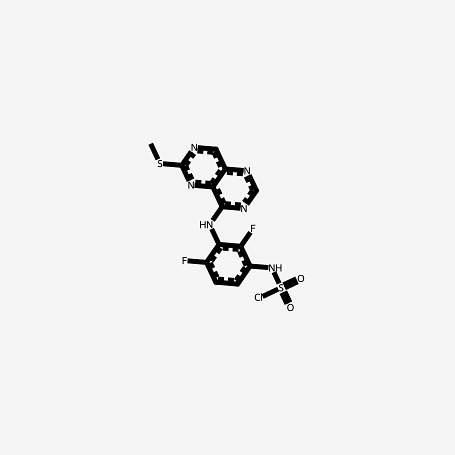 CSc1ncc2ncnc(Nc3c(F)ccc(NS(=O)(=O)Cl)c3F)c2n1